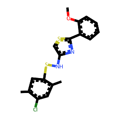 COc1ccccc1-c1nc(NSc2cc(C)c(Cl)cc2C)cs1